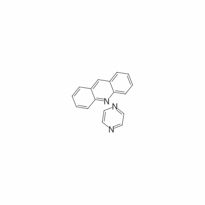 c1ccc2nc3ccccc3cc2c1.c1cnccn1